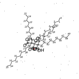 CCCCCCCCCCOC(C(=O)O)(C(CCCCCCCCCC)(CCCCCCCCCC)C(=O)O)C(CCCCCCCCCC)(C(=O)O)C(=O)CCCCCCC